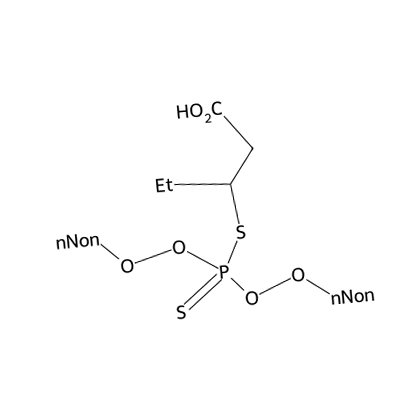 CCCCCCCCCOOP(=S)(OOCCCCCCCCC)SC(CC)CC(=O)O